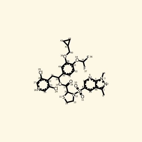 Cc1nn(C)c2ncc(S(=O)(=O)N3CCSC3C(=O)OC(Cc3c(Cl)cncc3Cl)c3ccc(OC(F)F)c(OCC4CC4)c3)cc12